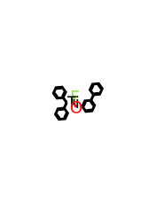 [F][Ti]([O]c1cccc(-c2ccccc2)c1)=[C](c1ccccc1)c1ccccc1